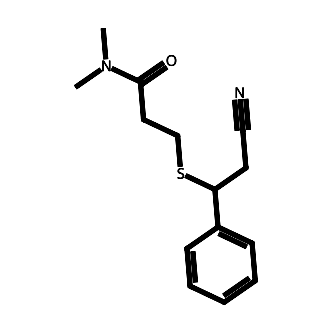 CN(C)C(=O)CCSC(CC#N)c1ccccc1